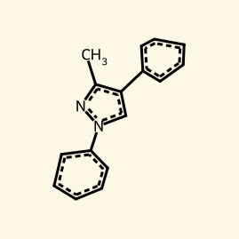 Cc1nn(-c2ccccc2)cc1-c1ccccc1